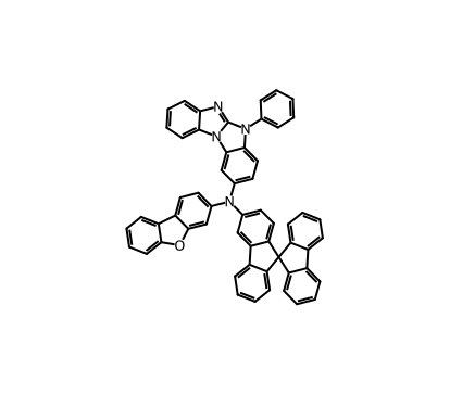 c1ccc(-n2c3ccc(N(c4ccc5c(c4)-c4ccccc4C54c5ccccc5-c5ccccc54)c4ccc5c(c4)oc4ccccc45)cc3n3c4ccccc4nc23)cc1